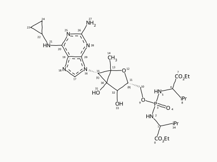 CCOC(=O)C(NP(=O)(NC(C(=O)OCC)C(C)C)OC[C@H]1OC2(C)[C@@H](n3cnc4c(NC5CC5)nc(N)nc43)C2(O)C1O)C(C)C